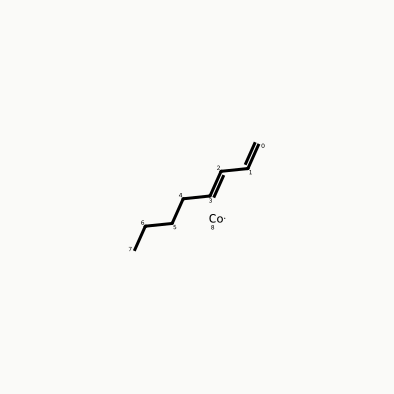 C=CC=CCCCC.[Co]